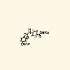 COc1ccc2oc(NC3CCN(C(=O)OC(C)(C)C)CC3)nc2c1